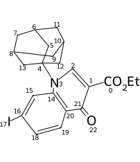 CCOC(=O)c1cn(C23CC4CC(CC(C4)C2)C3)c2cc(I)ccc2c1=O